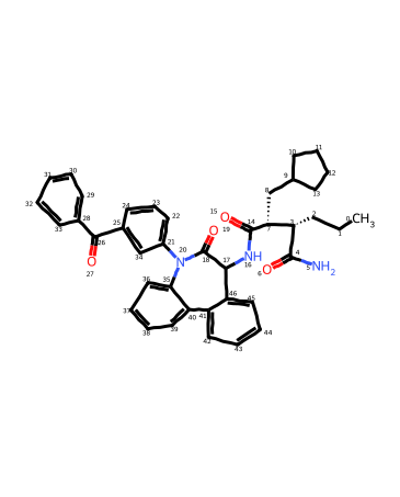 CCC[C@H](C(N)=O)[C@@H](CC1CCCC1)C(=O)NC1C(=O)N(c2cccc(C(=O)c3ccccc3)c2)c2ccccc2-c2ccccc21